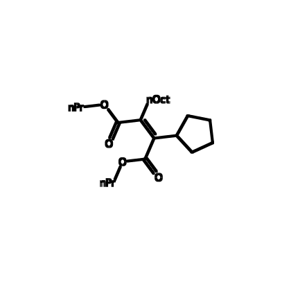 CCCCCCCC/C(C(=O)OCCC)=C(/C(=O)OCCC)C1CCCC1